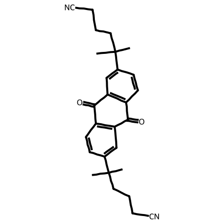 CC(C)(CCCC#N)c1ccc2c(c1)C(=O)c1ccc(C(C)(C)CCCC#N)cc1C2=O